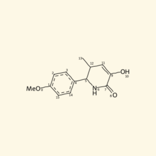 COc1ccc(C2NC(=O)C(O)=CC2C)cc1